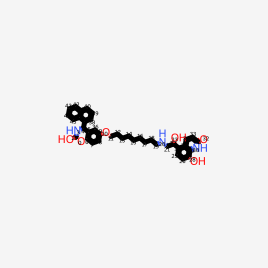 O=C(O)NC(c1cccc(OCCCCCCCCCNCC(O)c2ccc(O)c3[nH]c(=O)ccc23)c1)c1cccc2ccccc12